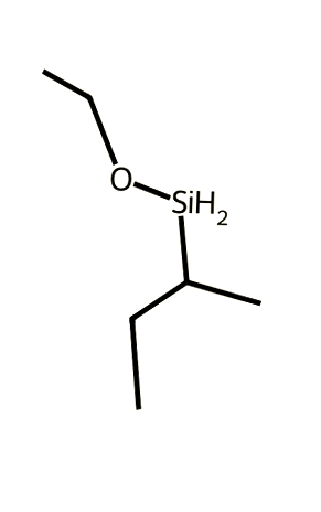 CCO[SiH2]C(C)CC